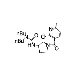 CCCCN(CCCC)C(=O)NC1CCN(C(=O)c2ccc(C)nc2Cl)C1